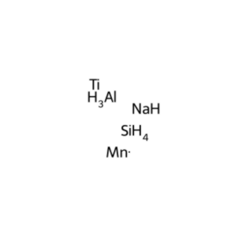 [AlH3].[Mn].[NaH].[SiH4].[Ti]